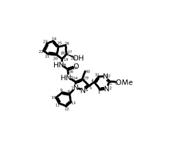 COc1ncc(-c2nn(-c3ccccc3)c(NC(=O)NC3c4ccccc4C[C@H]3O)c2C)cn1